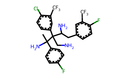 CC(N)(c1ccc(F)cc1)C(CN)(c1ccc(Cl)c(C(F)(F)F)c1)C(N)Cc1ccc(F)c(C(F)(F)F)c1